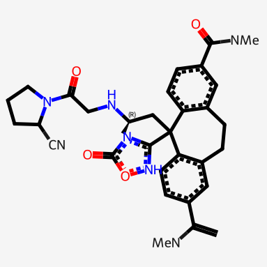 C=C(NC)c1ccc2c(c1)CCc1cc(C(=O)NC)ccc1C2(C[C@@H](C)NCC(=O)N1CCCC1C#N)c1nc(=O)o[nH]1